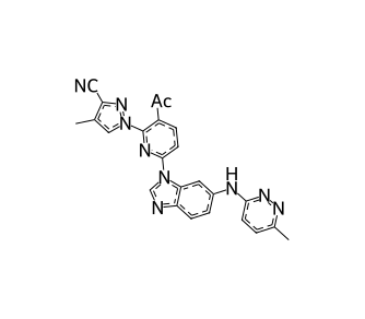 CC(=O)c1ccc(-n2cnc3ccc(Nc4ccc(C)nn4)cc32)nc1-n1cc(C)c(C#N)n1